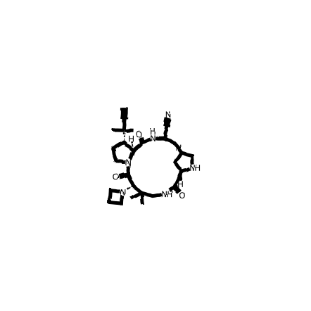 C#CC(C)(C)[C@H]1CCN2C(=O)[C@@H](N3CCC3)C(C)(C)CNC(=O)[C@@H]3C[C@H](CN3)CC(C#N)NC(=O)[C@H]12